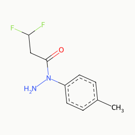 Cc1ccc(N(N)C(=O)CC(F)F)cc1